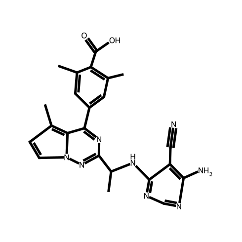 Cc1cc(-c2nc(C(C)Nc3ncnc(N)c3C#N)nn3ccc(C)c23)cc(C)c1C(=O)O